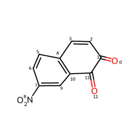 O=C1C=Cc2ccc([N+](=O)[O-])cc2C1=O